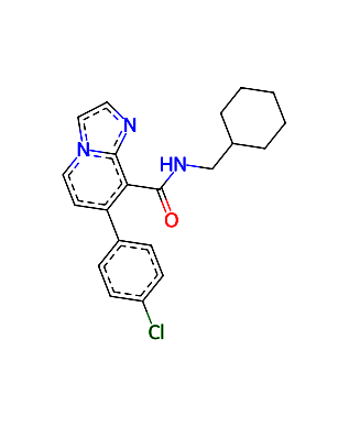 O=C(NCC1CCCCC1)c1c(-c2ccc(Cl)cc2)ccn2ccnc12